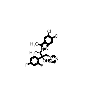 Cc1cc2nn([C@H](C)[C@](O)(Cn3cncn3)c3ccc(F)cc3F)c(C)c2cc1Cl